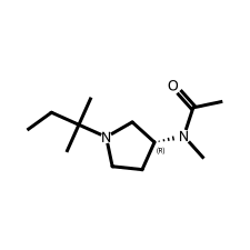 CCC(C)(C)N1CC[C@@H](N(C)C(C)=O)C1